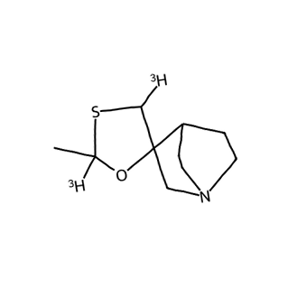 [3H]C1SC([3H])(C)OC12CN1CCC2CC1